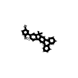 CC1(C)c2cc(-c3cc(Br)ccc3[N+](=O)[O-])ccc2-c2cc3c4ccccc4c4ccccc4c3cc21